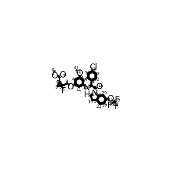 COC(=O)[C@@H]1C[C@]1(F)COc1cc(NC(C(=O)N2CCc3ccc(OC(F)(F)F)cc32)c2ccc(Cl)cc2)cc(OC)c1